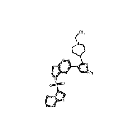 CCN1CCC(c2n[nH]cc2-c2cnc3cnn(S(=O)(=O)c4cnc5ccccn45)c3c2)CC1